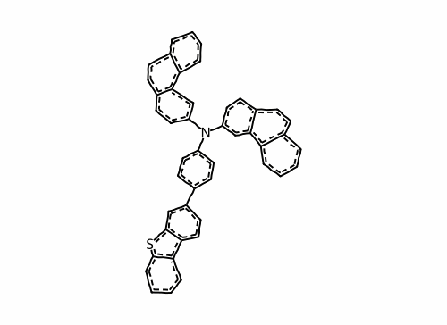 c1ccc2c(c1)ccc1ccc(N(c3ccc(-c4ccc5c(c4)sc4ccccc45)cc3)c3ccc4ccc5ccccc5c4c3)cc12